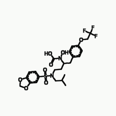 CC(C)CN(CCC(Cc1ccc(OCC(F)(F)F)cc1)N(O)C(=O)O)S(=O)(=O)c1ccc2c(c1)OCO2